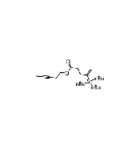 C=[C](CCC(=O)OCCC#CC)[Sn]([CH2]CCC)([CH2]CCC)[CH2]CCC